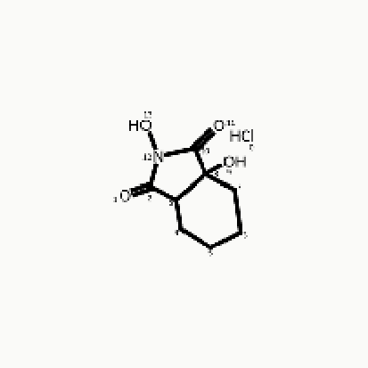 Cl.O=C1C2CCCCC2(O)C(=O)N1O